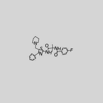 CC(C)(NC(=O)c1ccc(F)cc1)C(=O)Nc1nc(-c2ccccc2)c(CN2CCCCC2)s1